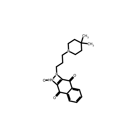 CC1(C)CCN(CCCN2C3=C(C(=O)c4ccccc4C3=O)[NH+]2[O-])CC1